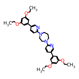 CCOc1cc(OCC)cc(-c2ccc(N3CCCN(c4ccc(-c5cc(OCC)cc(OCC)c5)cn4)CC3)nc2)c1